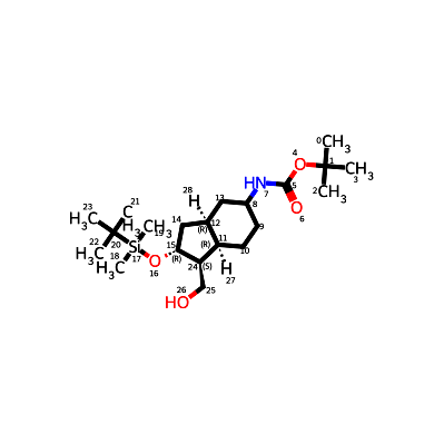 CC(C)(C)OC(=O)NC1CC[C@@H]2[C@H](C1)C[C@@H](O[Si](C)(C)C(C)(C)C)[C@@H]2CO